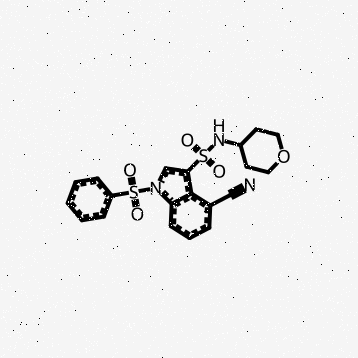 N#Cc1cccc2c1c(S(=O)(=O)NC1CCOCC1)cn2S(=O)(=O)c1ccccc1